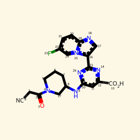 N#CCC(=O)N1CCCC(Nc2cc(C(=O)O)nc(-c3cnc4ccc(F)cn34)n2)C1